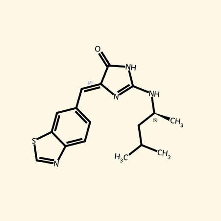 CC(C)C[C@H](C)NC1=N/C(=C\c2ccc3ncsc3c2)C(=O)N1